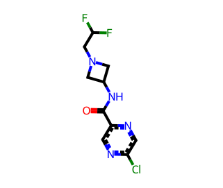 O=C(NC1CN(CC(F)F)C1)c1cnc(Cl)cn1